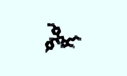 CCOCCc1c(CN(C(=O)Nc2ccc(F)cc2)c2ccc(OC)nc2)n[nH]c1C(F)(F)F